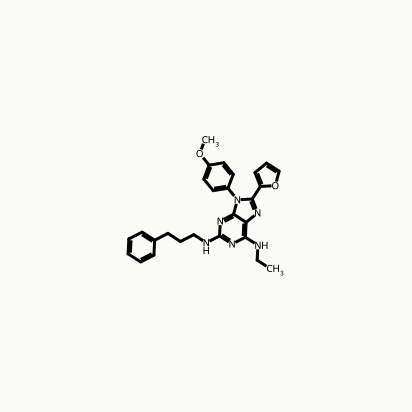 CCNc1nc(NCCCc2ccccc2)nc2c1nc(-c1ccco1)n2-c1ccc(OC)cc1